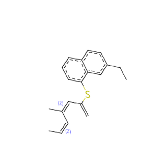 C=C(/C=C(C)\C=C/C)Sc1cccc2ccc(CC)cc12